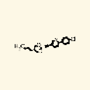 C=CCC[C@H]1CO[C@H](C#Cc2ccc(-c3ccc(Cl)cc3)nc2)OC1